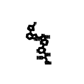 CC(C)(C)CC(O)Nc1cncc(-c2ccc3[nH]nc(-c4cc5c(-c6ccc(F)s6)cccc5[nH]4)c3n2)c1